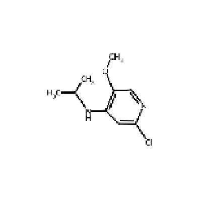 COc1cnc(Cl)cc1NC(C)C